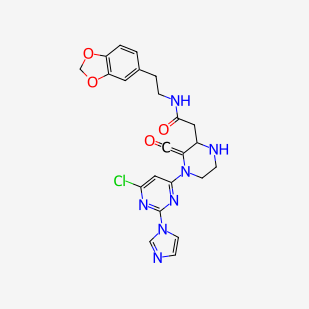 O=C=C1C(CC(=O)NCCc2ccc3c(c2)OCO3)NCCN1c1cc(Cl)nc(-n2ccnc2)n1